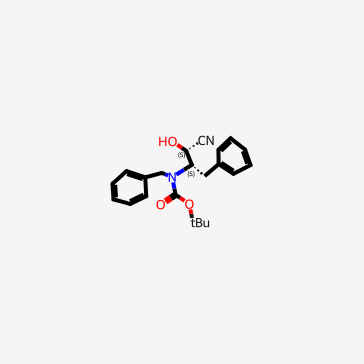 CC(C)(C)OC(=O)N(Cc1ccccc1)[C@@H](Cc1ccccc1)[C@H](O)C#N